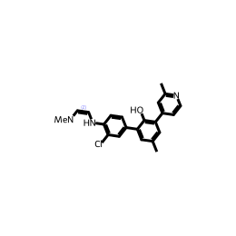 CN/C=C\Nc1ccc(-c2cc(C)cc(-c3ccnc(C)c3)c2O)cc1Cl